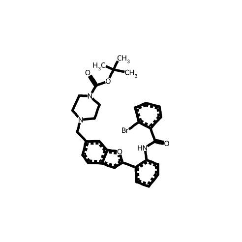 CC(C)(C)OC(=O)N1CCN(Cc2ccc3cc(-c4ccccc4NC(=O)c4ccccc4Br)oc3c2)CC1